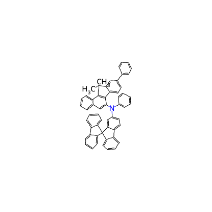 CC1(C)c2cc(-c3ccccc3)ccc2-c2c(N(c3ccccc3)c3ccc4c(c3)C3(c5ccccc5-c5ccccc53)c3ccccc3-4)cc3ccccc3c21